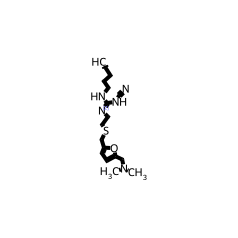 C#CCCCN/C(=N/CCSCc1ccc(CN(C)C)o1)NC#N